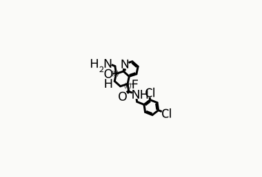 NC[C@@]1(O)CC[C@](F)(C(=O)NCc2ccc(Cl)cc2Cl)c2cccnc21